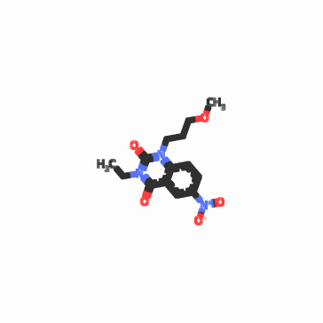 CCn1c(=O)c2cc([N+](=O)[O-])ccc2n(CCCOC)c1=O